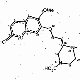 COc1cc2ccc(=O)oc2cc1OCC[C@@H]1CN(C(=O)O)CCN1